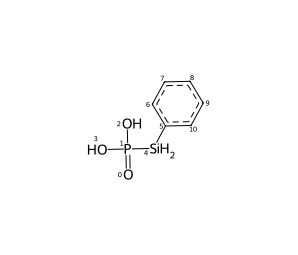 O=P(O)(O)[SiH2]c1ccccc1